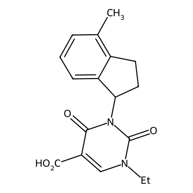 CCn1cc(C(=O)O)c(=O)n(C2CCc3c(C)cccc32)c1=O